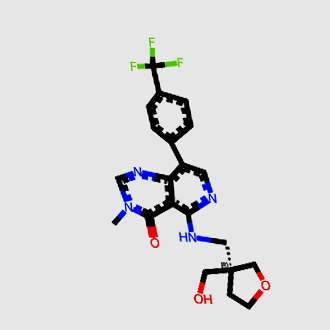 Cn1cnc2c(-c3ccc(C(F)(F)F)cc3)cnc(NC[C@@]3(CO)CCOC3)c2c1=O